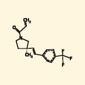 C=CC(=O)N1CC[C@](C)(C=Cc2ccc(C(F)(F)F)cc2)C1